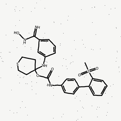 CS(=O)(=O)c1ccccc1-c1ccc(NC(=O)OC2(Nc3cccc(C(=N)NO)c3)CCSCC2)cc1